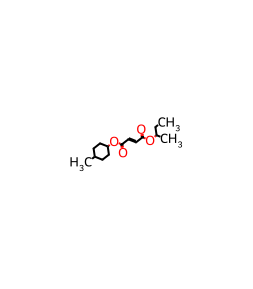 CCC(C)OC(=O)/C=C/C(=O)OC1CCC(C)CC1